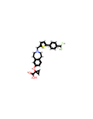 O=C(O)C1(Oc2ccc3c(c2)CCN(Cc2ccc(-c4ccc(C(F)F)cc4)s2)CC3)CC1